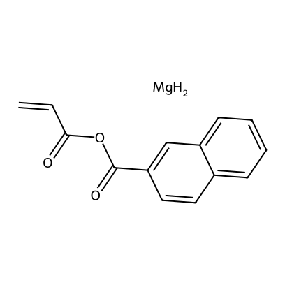 C=CC(=O)OC(=O)c1ccc2ccccc2c1.[MgH2]